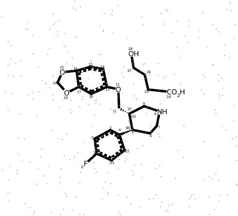 Fc1ccc([C@@H]2CCNC[C@H]2COc2ccc3c(c2)OCO3)cc1.O=C(O)CCCO